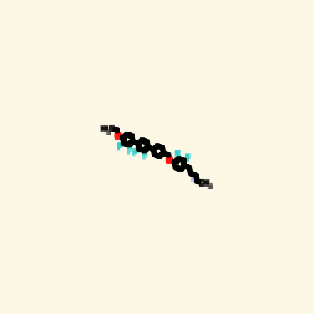 C/C=C/CCc1ccc(OCC2CCC(c3ccc(-c4ccc(OCC)c(F)c4F)c(F)c3F)CC2)c(F)c1F